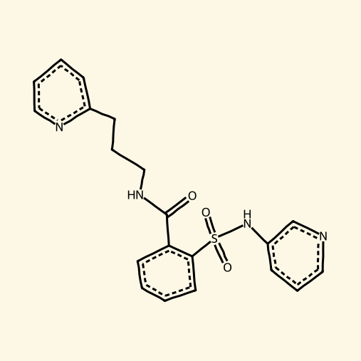 O=C(NCCCc1ccccn1)c1ccccc1S(=O)(=O)Nc1cccnc1